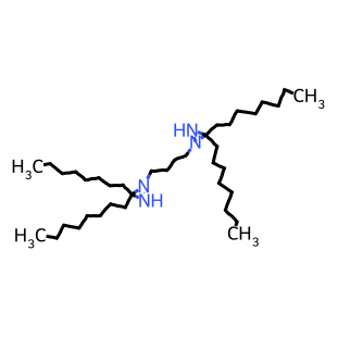 CCCCCCCCC1(CCCCCCCC)NN1CCCCN1NC1(CCCCCCCC)CCCCCCCC